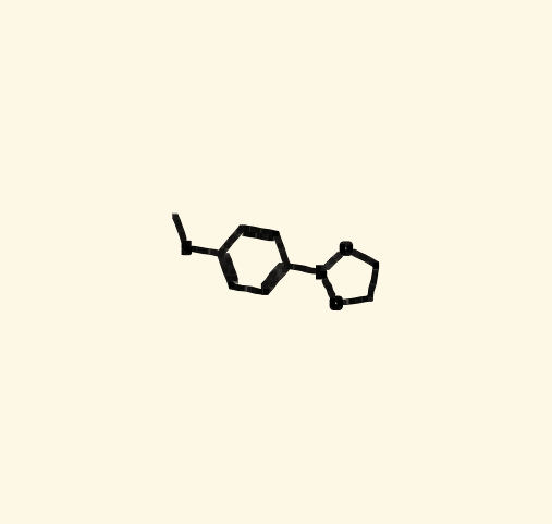 CSc1ccc(B2OCCO2)cc1